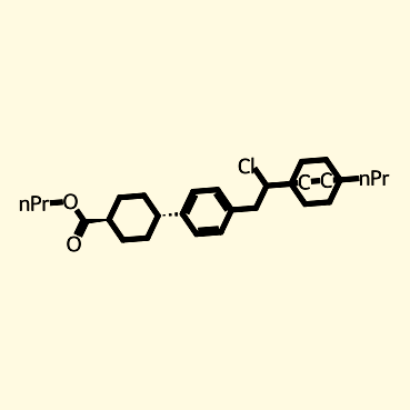 CCCOC(=O)[C@H]1CC[C@H](c2ccc(CC(Cl)C34CCC(CCC)(CC3)CC4)cc2)CC1